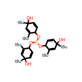 CC(C)(C)C1=CC(O)(C(C)(C)C)C=CC1OP(OC1C=CC(O)(C(C)(C)C)C=C1C(C)(C)C)OC1C=CC(O)(C(C)(C)C)C=C1C(C)(C)C